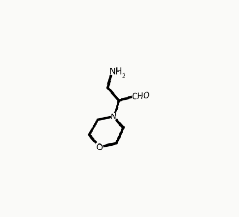 NCC(C=O)N1CCOCC1